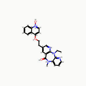 CCN1c2ncc(CCOc3cc[n+]([O-])c4ccccc34)cc2C(=O)N(C)c2cccnc21